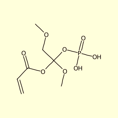 C=CC(=O)OC(COC)(OC)OP(=O)(O)O